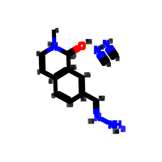 C#N.C#N.Cn1ccc2ccc(C=NN)cc2c1=O